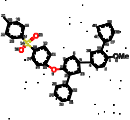 COc1ccc(-c2ccc(Oc3ccc(S(=O)(=O)c4ccc(C)cc4)cc3)c(-c3ccccc3)c2)cc1-c1ccccc1